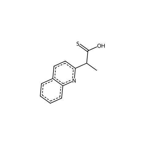 CC(C(O)=S)c1ccc2ccccc2n1